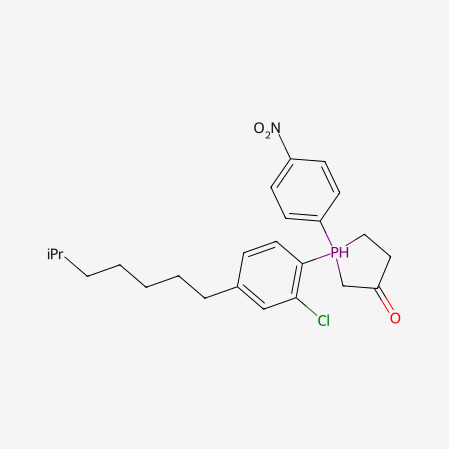 CC(C)CCCCCc1ccc([PH]2(c3ccc([N+](=O)[O-])cc3)CCC(=O)C2)c(Cl)c1